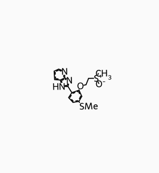 CSc1ccc(-c2nc3ncccc3[nH]2)c(OCC[S+](C)[O-])c1